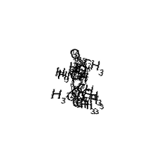 CC(C)[Si](O[C@@H]1C=C2NC[C@H]3[C@@H]4CC(=O)C[C@@]4(C)CC[C@@H]3[C@@]2(C)CC1)(C(C)C)C(C)C